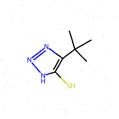 CC(C)(C)c1nn[nH]c1S